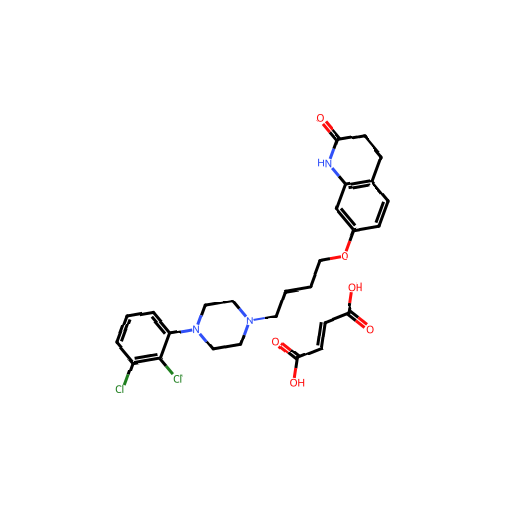 O=C(O)C=CC(=O)O.O=C1CCc2ccc(OCCCCN3CCN(c4cccc(Cl)c4Cl)CC3)cc2N1